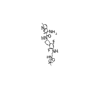 Cc1ccc2c(N)c(C(=O)N[C@H]3CCc4c(F)c(NCCNC(=O)OC(C)(C)C)cc(F)c4C3)sc2n1